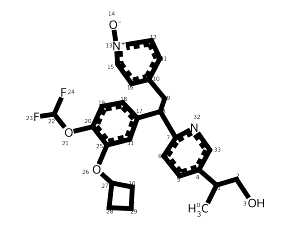 CC(CO)c1ccc(C(Cc2cc[n+]([O-])cc2)c2ccc(OC(F)F)c(OC3CCC3)c2)nc1